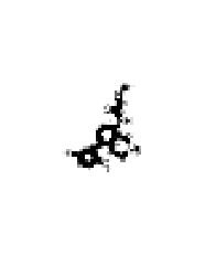 COc1ccc(F)cc1-c1ccc(NC(=O)/C=N/O)c2c1CCN(C)C2